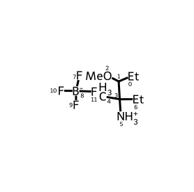 CCC(OC)C(C)([NH3+])CC.F[B-](F)(F)F